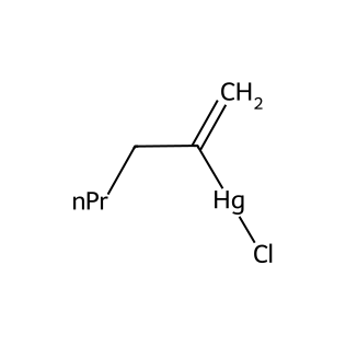 C=[C](CCCC)[Hg][Cl]